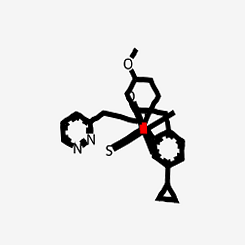 COC1CCC2(CC1)Cc1ccc(C3CC3)cc1C21NC(=S)N(Cc2cccnn2)C1=O